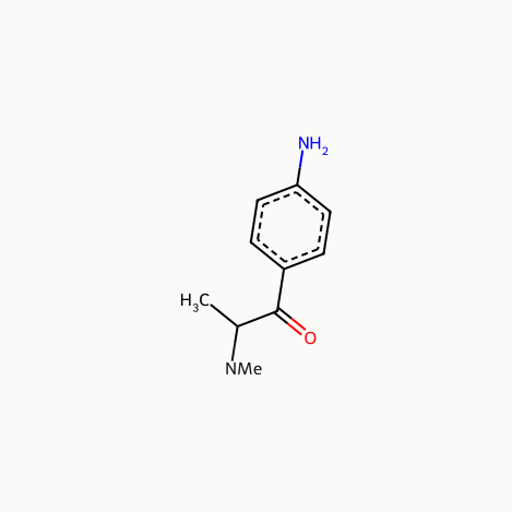 CNC(C)C(=O)c1ccc(N)cc1